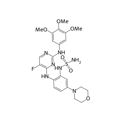 COc1cc(Nc2ncc(F)c(Nc3ccc(N4CCOCC4)cc3NS(N)(=O)=O)n2)cc(OC)c1OC